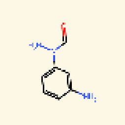 Nc1c[c]cc(N(N)C=O)c1